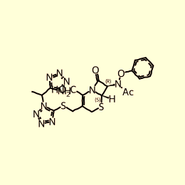 CC(=O)N(Oc1ccccc1)[C@@H]1C(=O)N2C(C(=O)O)=C(CSc3nnnn3C(C)c3nnn[nH]3)CS[C@@H]12